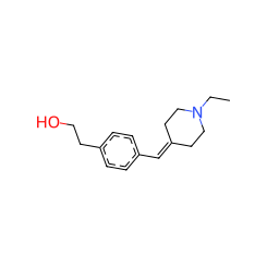 CCN1CCC(=Cc2ccc(CCO)cc2)CC1